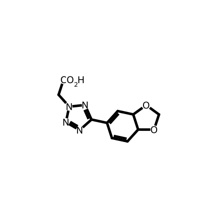 O=C(O)Cn1nnc(C2=CC3OCOC3C=C2)n1